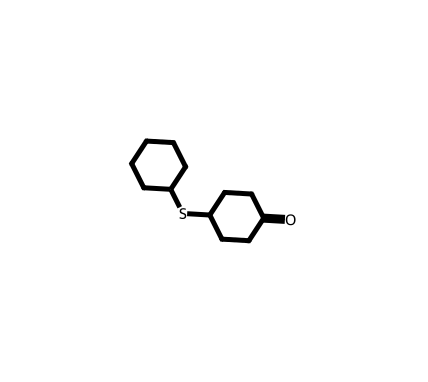 O=C1CCC(SC2CCCCC2)CC1